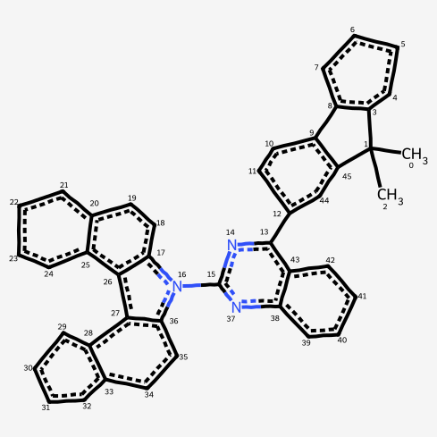 CC1(C)c2ccccc2-c2ccc(-c3nc(-n4c5ccc6ccccc6c5c5c6ccccc6ccc54)nc4ccccc34)cc21